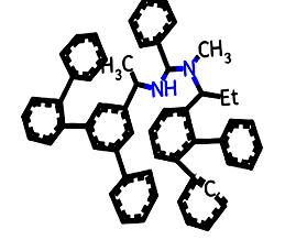 CCC(c1cccc(-c2ccccc2)c1-c1ccccc1)N(C)C(NC(C)c1cc(-c2ccccc2)cc(-c2ccccc2-c2ccccc2)c1)c1ccccc1